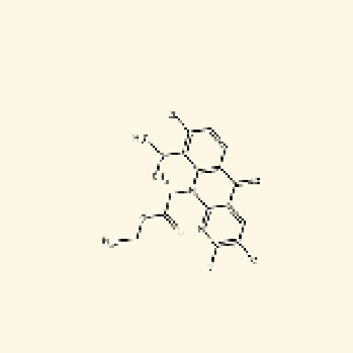 CCOC(=O)Cn1c2nc(Br)c(Cl)cc2c(=O)c2ccc(Cl)c(N(C)C)c21